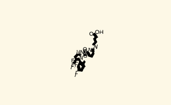 Cc1ccc(F)cc1-c1nc(NS(=O)(=O)c2cccc(N(C)CCCCC(=O)O)n2)ccc1C(F)(F)F